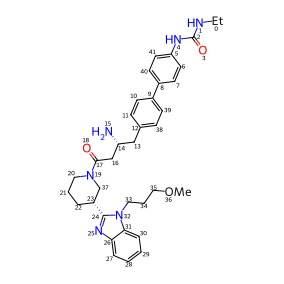 CCNC(=O)Nc1ccc(-c2ccc(C[C@@H](N)CC(=O)N3CCC[C@@H](c4nc5ccccc5n4CCCOC)C3)cc2)cc1